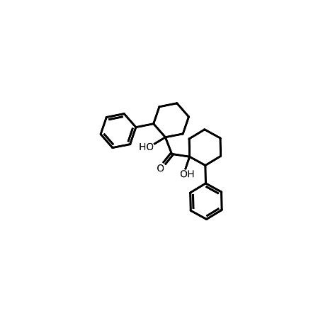 O=C(C1(O)CCCCC1c1ccccc1)C1(O)CCCCC1c1ccccc1